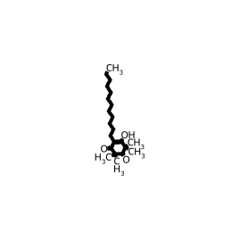 CCCCCCCCCCCCC1=C(O)C(C)(C)C(=O)C(C)(C)C1=O